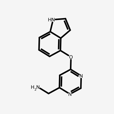 NCc1cc(Oc2cccc3[nH]ccc23)ncn1